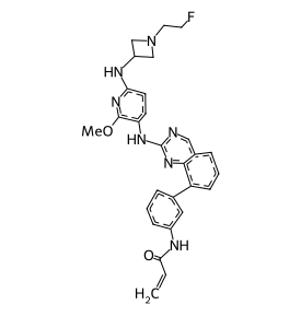 C=CC(=O)Nc1cccc(-c2cccc3cnc(Nc4ccc(NC5CN(CCF)C5)nc4OC)nc23)c1